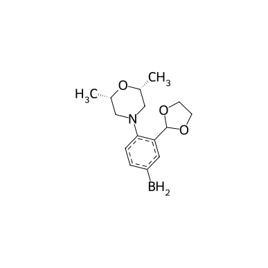 Bc1ccc(N2C[C@@H](C)O[C@@H](C)C2)c(C2OCCO2)c1